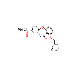 COC(=O)c1ccc2c(c1)NC(=O)c1c(OCc3ccccc3)cccc1O2